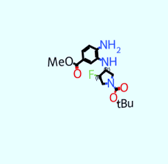 COC(=O)c1ccc(N)c(N[C@@H]2CN(C(=O)OC(C)(C)C)C[C@H]2F)c1